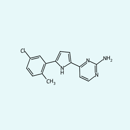 Cc1ccc(Cl)cc1-c1ccc(-c2ccnc(N)n2)[nH]1